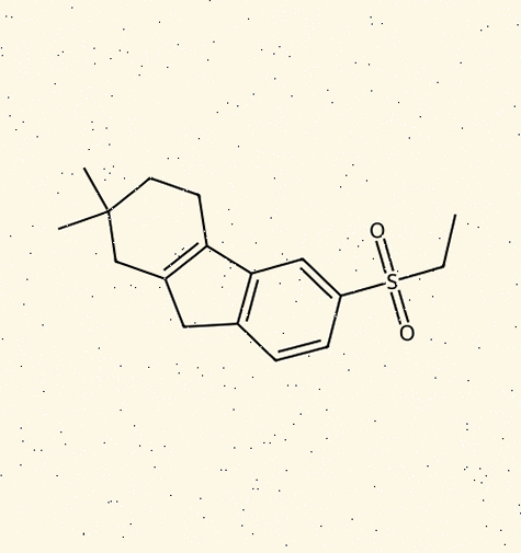 CCS(=O)(=O)c1ccc2c(c1)C1=C(C2)CC(C)(C)CC1